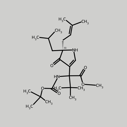 COC(=O)C(NC(=O)OC(C)(C)C)(C1=CN[C@](CC=C(C)C)(CC(C)C)C1=O)C(C)(C)C